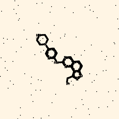 CC(C)Cc1noc2ccc3cnc(Nc4ccc(N5CCNCC5)cn4)nc3c12